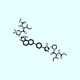 CCC(C)[C@H](NC(=O)OC)C(=O)N1CCC[C@H]1c1ncc(-c2ccc(-c3ccc4c(ccc5nc([C@@H]6C[Si](C)(C)CN6C(=O)[C@@H](NC(=O)OC)C(C)CC)[nH]c54)c3)cc2)[nH]1